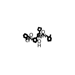 Cc1ccccc1CNC(=O)n1nc(-c2cc(NC(=O)c3ccccc3Cl)ccc2O)cc1C1CCCC1